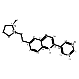 C[C@@H]1CCCN1CCc1ccc2nc(-c3cncnc3)ccc2c1